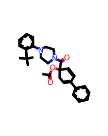 CC(=O)OC1(C(=O)N2CCN(c3ccccc3C(C)(C)C)CC2)C=CC(c2ccccc2)=CC1